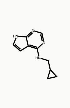 c1nc(NCC2CC2)c2cc[nH]c2n1